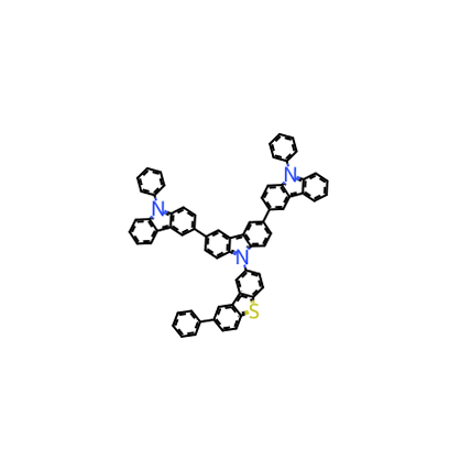 c1ccc(-c2ccc3sc4ccc(-n5c6ccc(-c7ccc8c(c7)c7ccccc7n8-c7ccccc7)cc6c6cc(-c7ccc8c(c7)c7ccccc7n8-c7ccccc7)ccc65)cc4c3c2)cc1